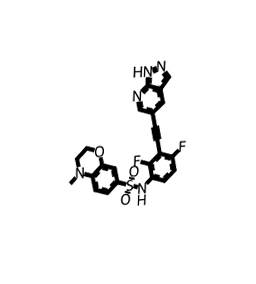 CN1CCOc2cc(S(=O)(=O)Nc3ccc(F)c(C#Cc4cnc5[nH]ncc5c4)c3F)ccc21